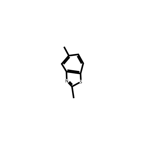 Cc1ccc2sc(C)nc2c1